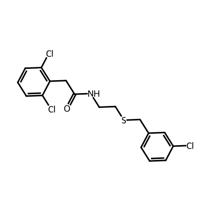 O=C(Cc1c(Cl)cccc1Cl)NCCSCc1cccc(Cl)c1